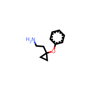 NCCC1(Oc2ccccc2)CC1